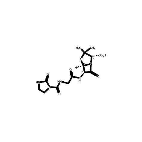 CC1(C)S[C@@H]2[C@H](NC(=O)CNC(=O)N3CCNC3=O)C(=O)N2[C@H]1C(=O)O